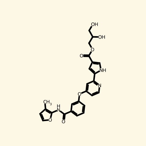 Cc1ccoc1NC(=O)c1cccc(Oc2ccnc(-c3cc(C(=O)OCC(O)CO)c[nH]3)c2)c1